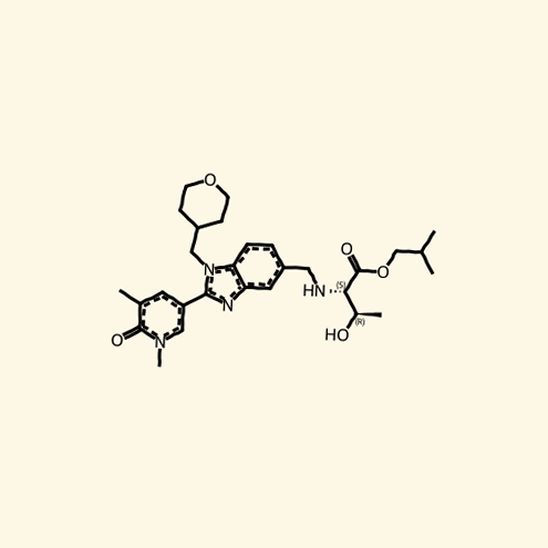 Cc1cc(-c2nc3cc(CN[C@H](C(=O)OCC(C)C)[C@@H](C)O)ccc3n2CC2CCOCC2)cn(C)c1=O